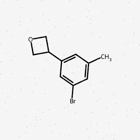 Cc1cc(Br)cc(C2COC2)c1